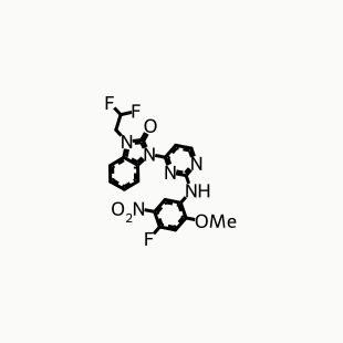 COc1cc(F)c([N+](=O)[O-])cc1Nc1nccc(-n2c(=O)n(CC(F)F)c3ccccc32)n1